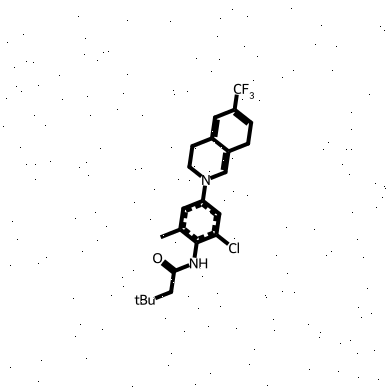 Cc1cc(N2C=C3CC=C(C(F)(F)F)C=C3CC2)cc(Cl)c1NC(=O)CC(C)(C)C